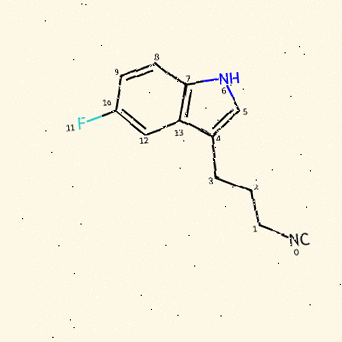 [C-]#[N+]CCCc1c[nH]c2ccc(F)cc12